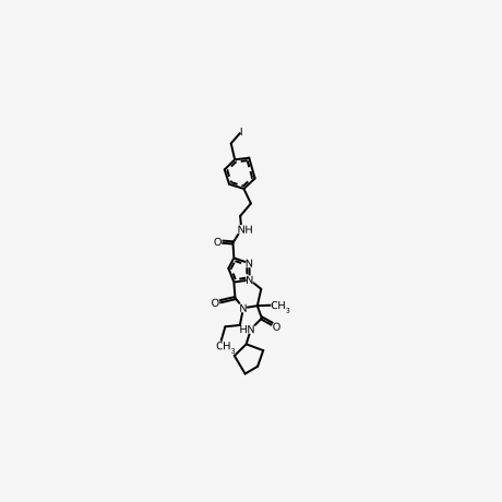 CCCN1C(=O)c2cc(C(=O)NCCc3ccc(CI)cc3)nn2CC1(C)C(=O)NC1CCCC1